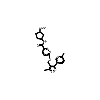 COC1CCC(NC(=O)c2ccc(OCc3c(-c4ccc(C)nc4)noc3C)nn2)C1